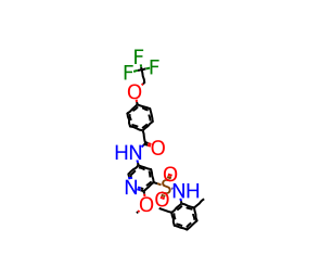 COc1ncc(NC(=O)c2ccc(OCC(F)(F)F)cc2)cc1S(=O)(=O)Nc1c(C)cccc1C